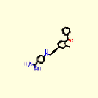 Cc1cc(C#CCNc2ccc(C(=N)N)cc2)ccc1C(=O)c1ccccc1